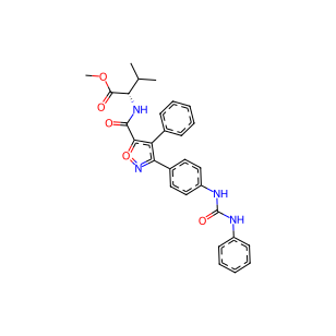 COC(=O)[C@@H](NC(=O)c1onc(-c2ccc(NC(=O)Nc3ccccc3)cc2)c1-c1ccccc1)C(C)C